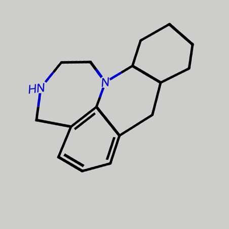 c1cc2c3c(c1)CC1CCCCC1N3CCNC2